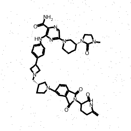 C=C1CCC(N2C(=O)c3ccc(N4CC[C@H](CN5CC(c6ccc(Nc7nc(N8CCC[C@@H](N9CCN(C)C9=O)C8)cnc7C(N)=O)cc6)C5)C4)cc3C2=O)C(=O)N1